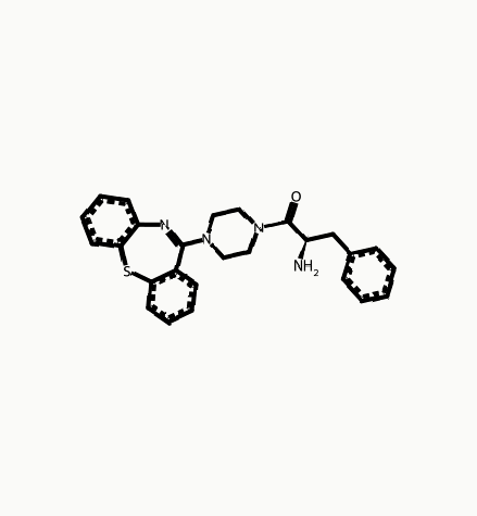 N[C@H](Cc1ccccc1)C(=O)N1CCN(C2=Nc3ccccc3Sc3ccccc32)CC1